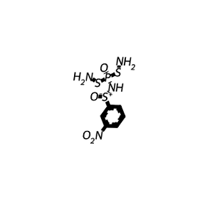 NSP(=O)(N[S+]([O-])c1cccc([N+](=O)[O-])c1)SN